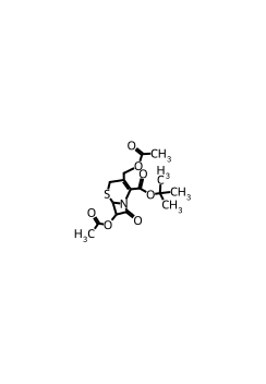 CC(=O)OCC1=C(C(=O)OC(C)(C)C)N2C(=O)C(OC(C)=O)C2SC1